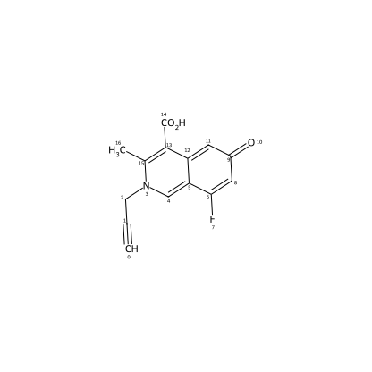 C#CCn1cc2c(F)cc(=O)cc-2c(C(=O)O)c1C